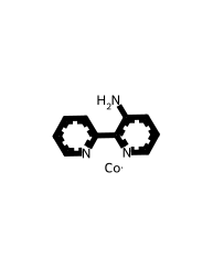 Nc1cccnc1-c1ccccn1.[Co]